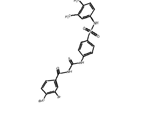 Cc1ccc(NS(=O)(=O)c2ccc(NC(=S)NC(=O)c3ccc(OCC(C)C)c(Br)c3)cc2)cc1C